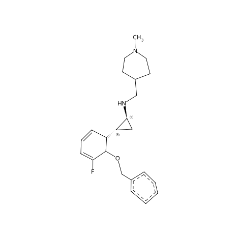 CN1CCC(CN[C@H]2C[C@@H]2C2C=CC=C(F)C2OCc2ccccc2)CC1